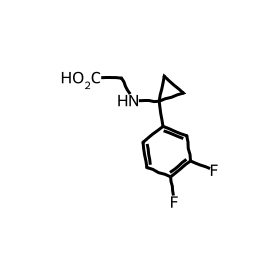 O=C(O)CNC1(c2ccc(F)c(F)c2)CC1